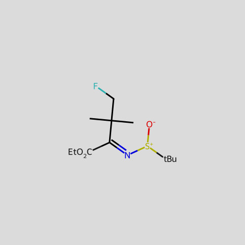 CCOC(=O)/C(=N/[S+]([O-])C(C)(C)C)C(C)(C)CF